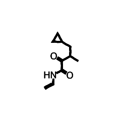 C=CNC(=O)C(=O)C(C)CC1CC1